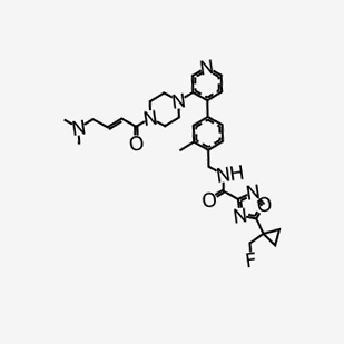 Cc1cc(-c2ccncc2N2CCN(C(=O)C=CCN(C)C)CC2)ccc1CNC(=O)c1noc(C2(CF)CC2)n1